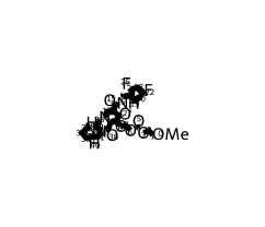 COCCOC(=O)OCOc1c2n(cc(C(=O)NCc3ccc(F)cc3F)c1=O)C[C@@H]1N(C[C@H]3CCCN31)C2=O